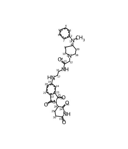 CN(c1ccccc1)C1CCN(CC(=O)NCCNc2ccc3c(c2)C(=O)N(C2CCC(=O)NC2=O)C3=O)CC1